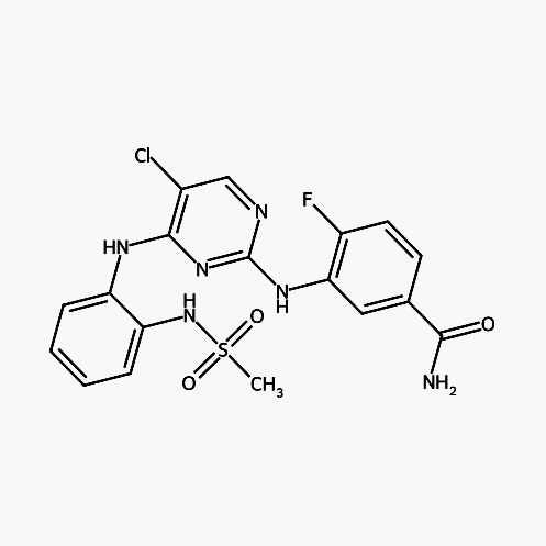 CS(=O)(=O)Nc1ccccc1Nc1nc(Nc2cc(C(N)=O)ccc2F)ncc1Cl